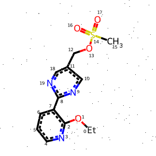 CCOc1ncccc1-c1ncc(COS(C)(=O)=O)cn1